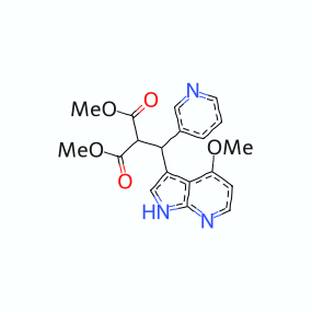 COC(=O)C(C(=O)OC)C(c1cccnc1)c1c[nH]c2nccc(OC)c12